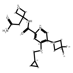 NC(=O)CC1(NC(=O)c2cc(OCC3CC3)c(N3CC(F)(F)C3)cn2)COC1